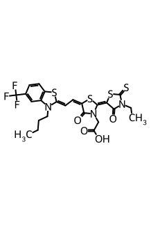 CCCCN1/C(=C/C=c2/s/c(=C3\SC(=S)N(CC)C3=O)n(CC(=O)O)c2=O)Sc2ccc(C(F)(F)F)cc21